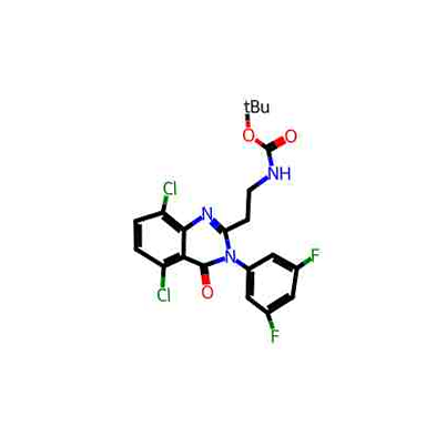 CC(C)(C)OC(=O)NCCc1nc2c(Cl)ccc(Cl)c2c(=O)n1-c1cc(F)cc(F)c1